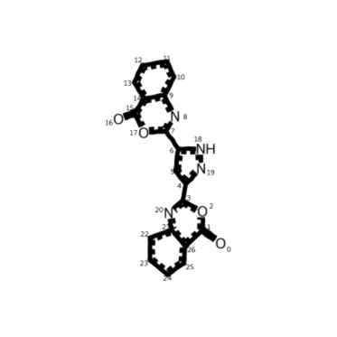 O=c1oc(-c2cc(-c3nc4ccccc4c(=O)o3)[nH]n2)nc2ccccc12